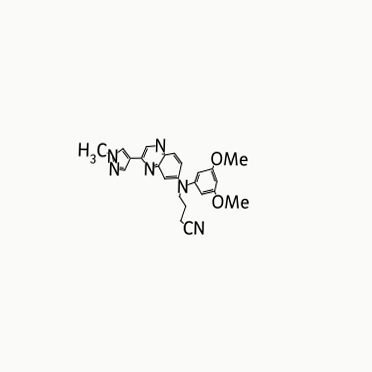 COc1cc(OC)cc(N(CCCC#N)c2ccc3ncc(-c4cnn(C)c4)nc3c2)c1